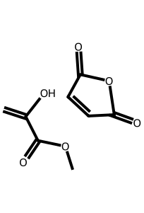 C=C(O)C(=O)OC.O=C1C=CC(=O)O1